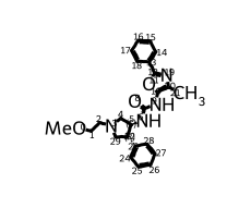 COCCN1C[C@@H](NC(=O)Nc2oc(-c3ccccc3)nc2C)[C@H](c2ccccc2)C1